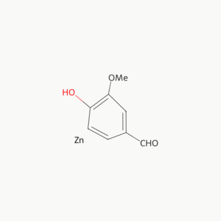 COc1cc(C=O)ccc1O.[Zn]